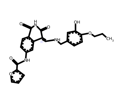 CCCOc1ccc(CN/C=C2\C(=O)NC(=O)c3ccc(NC(=O)c4ccco4)cc32)cc1O